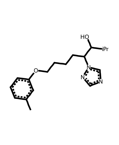 Cc1cccc(OCCCCC(C(O)C(C)C)n2cncn2)c1